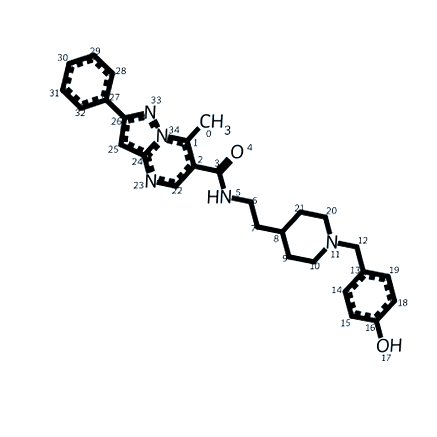 Cc1c(C(=O)NCCC2CCN(Cc3ccc(O)cc3)CC2)cnc2cc(-c3ccccc3)nn12